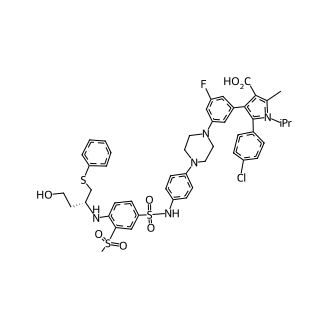 Cc1c(C(=O)O)c(-c2cc(F)cc(N3CCN(c4ccc(NS(=O)(=O)c5ccc(N[C@H](CCO)CSc6ccccc6)c(S(C)(=O)=O)c5)cc4)CC3)c2)c(-c2ccc(Cl)cc2)n1C(C)C